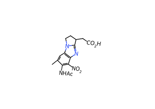 CC(=O)Nc1c(C)cc2c(nc3n2CCC3CC(=O)O)c1[N+](=O)[O-]